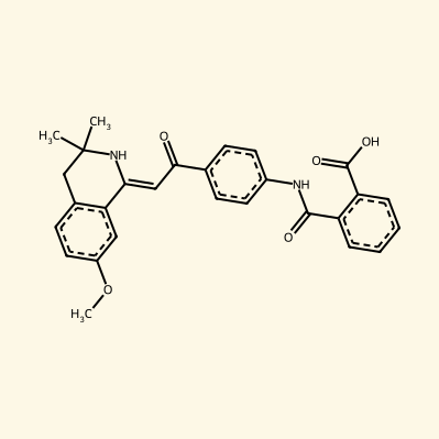 COc1ccc2c(c1)/C(=C/C(=O)c1ccc(NC(=O)c3ccccc3C(=O)O)cc1)NC(C)(C)C2